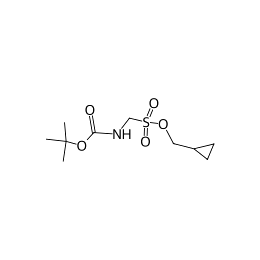 CC(C)(C)OC(=O)NCS(=O)(=O)OCC1CC1